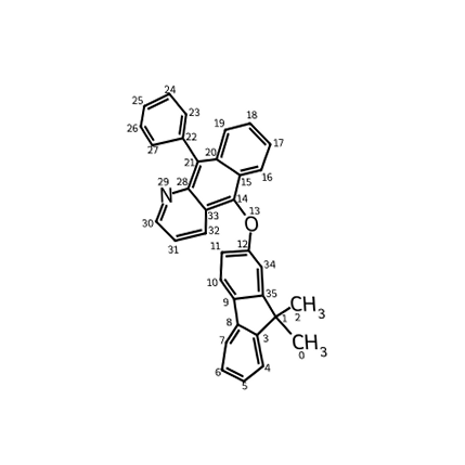 CC1(C)c2ccccc2-c2ccc(Oc3c4ccccc4c(-c4ccccc4)c4ncccc34)cc21